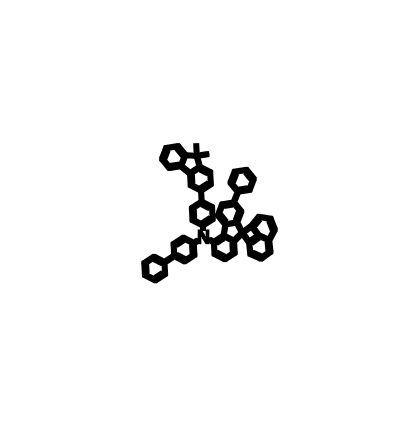 CC1(C)c2ccccc2-c2cc(-c3ccc(N(c4ccc(-c5ccccc5)cc4)c4cccc5c4-c4ccc(-c6ccccc6)cc4C54c5cccc6cccc4c56)cc3)ccc21